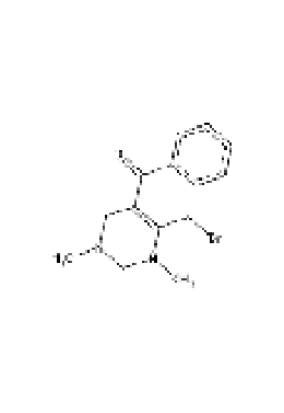 CN1CC(C(=O)c2ccccc2)=C(CBr)N(C)C1